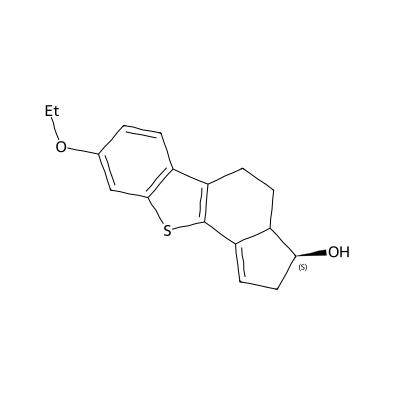 CCOc1ccc2c3c(sc2c1)C1=CC[C@H](O)C1CC3